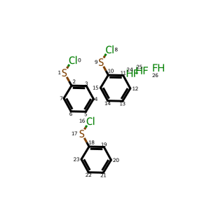 ClSc1ccccc1.ClSc1ccccc1.ClSc1ccccc1.F.F.F